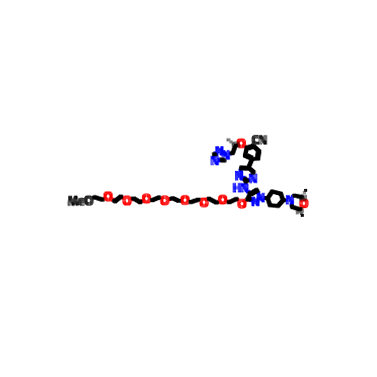 COCCOCCOCCOCCOCCOCCOCCOCCOc1nn(C2CCC(N3C[C@@H](C)O[C@@H](C)C3)CC2)cc1Nc1ncc(-c2ccc(C#N)c(O[C@@H](C)Cn3cncn3)c2)cn1